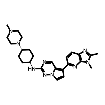 Cc1nc2ccc(-c3ccn4nc(N[C@H]5CC[C@@H](N6CCN(C)CC6)CC5)ncc34)nc2n1C